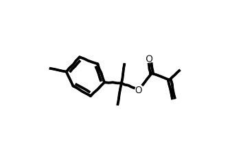 C=C(C)C(=O)OC(C)(C)c1ccc(C)cc1